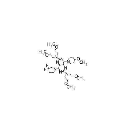 COCCN(CCOC)c1nc(N2CCC(F)(F)C2)c2nc(N(CCOC)CCOC)nc(N3CCC(OC)CC3)c2n1